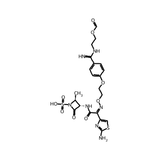 C[C@H]1[C@H](NC(=O)C(=NOCCOc2ccc(C(=N)NCCOC=O)cc2)c2csc(N)n2)C(=O)N1S(=O)(=O)O